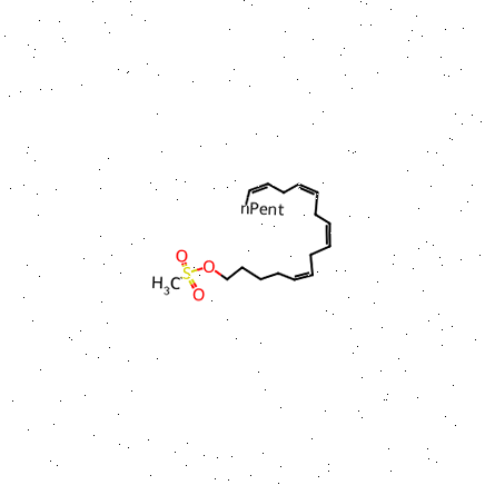 CCCCC/C=C\C/C=C\C/C=C\C/C=C\CCCCOS(C)(=O)=O